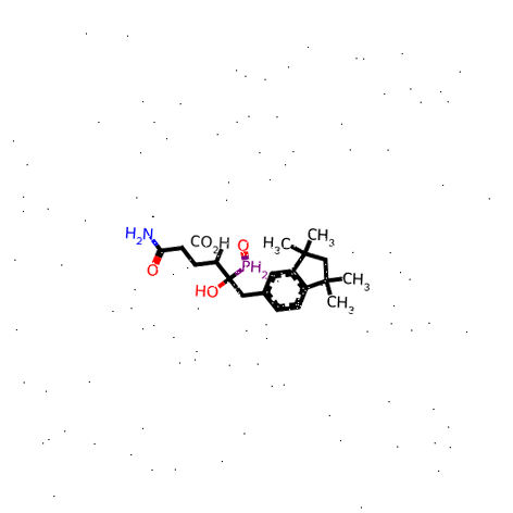 CC1(C)CC(C)(C)c2cc(CC(O)([PH2]=O)C(CCC(N)=O)C(=O)O)ccc21